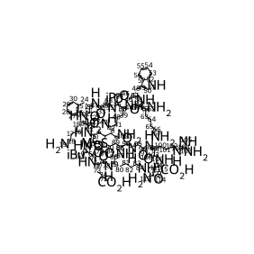 CC[C@H](C)[C@H](NC(=O)[C@H](CCCCN)NC(=O)[C@H](CCCCN)NC(=O)[C@H](Cc1ccccc1)NC(=O)[C@@H](NC(=O)[C@H](CCCCN)NC(=O)[C@H](Cc1c[nH]c2ccccc12)NC(=O)[C@@H](N)CCCCN)C(C)C)C(=O)N[C@@H](CCC(=O)O)C(=O)N[C@@H](CCCCN)C(=O)N[C@@H](CCSC)C(=O)NCC(=O)N[C@@H](CCCNC(=N)N)C(=O)N[C@@H](CC(N)=O)C(=O)O